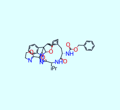 CC(C)[C@@H]1NC(=O)[C@@H](NC(=O)OCc2ccccc2)Cc2ccc3c(c2)C2(c4ccccc4NC2O3)c2oc1nc2C1=NCCO1